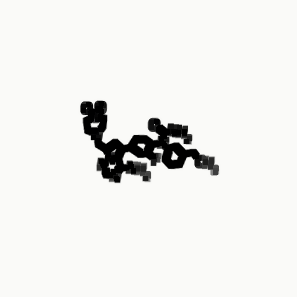 CCc1cccc(N(C(N)=O)c2ccc(-c3cc(CN4CCS(=O)(=O)CC4)n4ncnc(N)c34)cc2F)c1